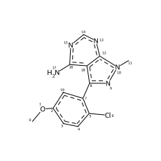 COc1ccc(Cl)c(-c2nn(C)c3ncnc(N)c23)c1